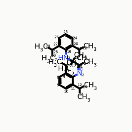 C/C(=N/c1c(C(C)C)cccc1C(C)C)C(C)(C)Nc1c(C(C)C)cccc1C(C)C